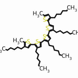 CCCCCCc1cc(-c2sc(-c3sc(-c4sc(-c5sc(C)cc5CCCCCC)cc4CCCCCC)cc3CCCCCC)cc2CCCCCC)sc1C